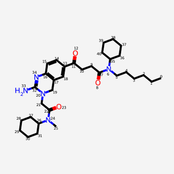 CCCCCCN(C(=O)CCC(=O)c1ccc2c(c1)CN(CC(=O)N(C)C1CCCCC1)C(N)=N2)C1CCCCC1